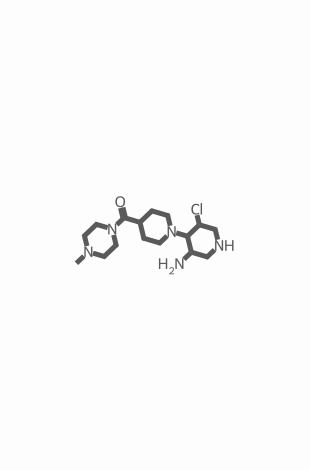 CN1CCN(C(=O)C2CCN(C3C(N)CNCC3Cl)CC2)CC1